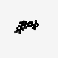 Cc1ccc(-c2ccc(N3C(=O)CCC34CC4)cc2)c(Cl)c1C1CCC(=O)NC1=O